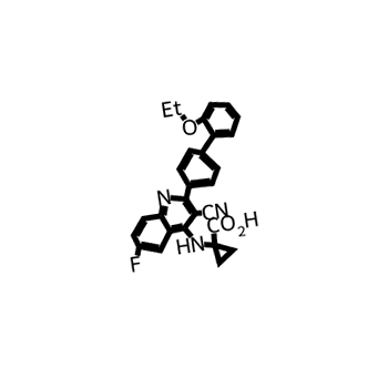 CCOc1ccccc1-c1ccc(-c2nc3ccc(F)cc3c(NC3(C(=O)O)CC3)c2C#N)cc1